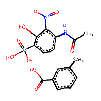 CC(=O)Nc1ccc([As](=O)(O)O)c(O)c1[N+](=O)[O-].Cc1cccc(C(=O)O)c1